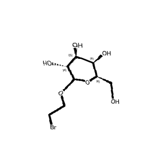 OC[C@H]1OC(OCCBr)[C@H](O)[C@@H](O)[C@H]1O